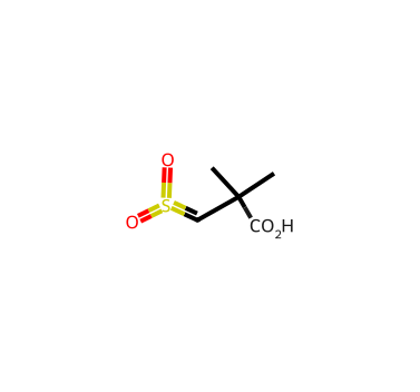 CC(C)(C=S(=O)=O)C(=O)O